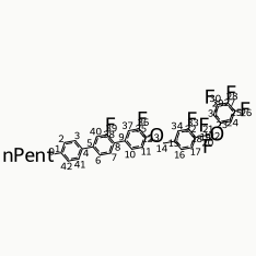 CCCCCc1ccc(-c2ccc(-c3ccc(OCc4ccc(C(F)(F)Oc5cc(F)c(F)c(F)c5)c(F)c4)c(F)c3)c(F)c2)cc1